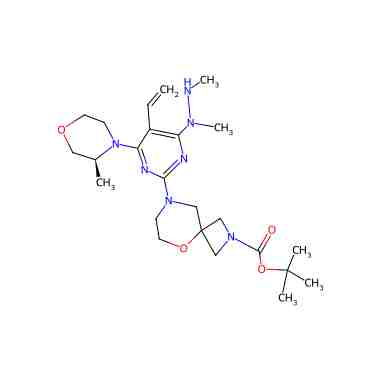 C=Cc1c(N(C)NC)nc(N2CCOC3(CN(C(=O)OC(C)(C)C)C3)C2)nc1N1CCOC[C@@H]1C